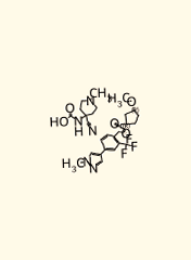 CN1CCC(C#N)(NC(=O)O)CC1.CO[C@@H]1CC[C@@H](S(=O)(=O)c2ccc(-c3cnn(C)c3)cc2C(F)(F)F)C1